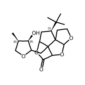 C[C@@H]1COC(CC23C4C[C@@H](C(C)(C)C)C25CCOC5OC3C(=O)O4)[C@@H]1O